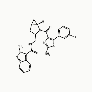 Cn1nc2ccccc2c1C(=O)NCC1CC2C[C@@H]2N1C(=O)c1nc(N)sc1-c1cccc(F)c1